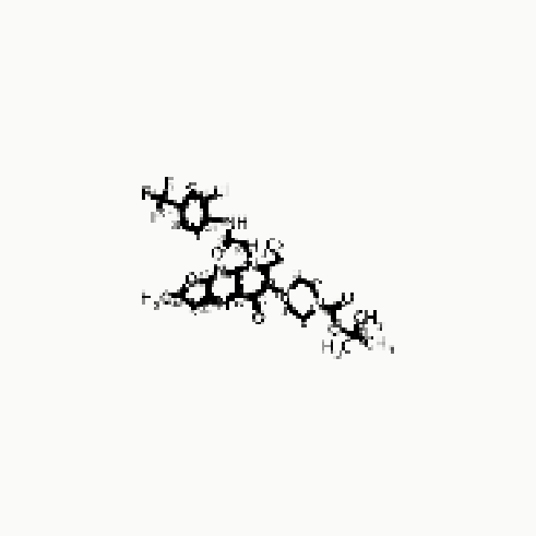 CCc1c(N2CCN(C(=O)OC(C)(C)C)CC2)c(=O)c2nc3cc(C)oc3nc2n1CC(=O)Nc1ccc(C(F)(F)F)cc1Cl